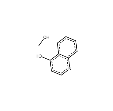 CO.Oc1ccnc2ccccc12